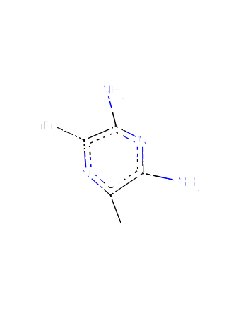 Cc1nc(C(C)C)c(N)nc1N